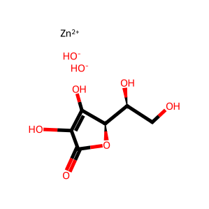 O=C1O[C@H]([C@@H](O)CO)C(O)=C1O.[OH-].[OH-].[Zn+2]